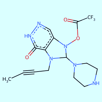 CC#CCN1c2c(cn[nH]c2=O)N(OC(=O)C(F)(F)F)C1N1CCNCC1